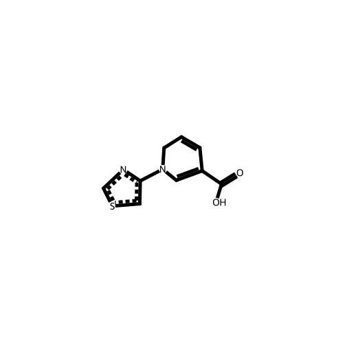 O=C(O)C1=CN(c2cscn2)CC=C1